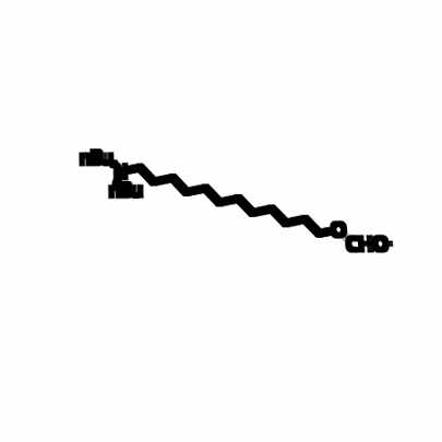 CCCCN(CCCC)CCCCCCCCCCCCO[C]=O